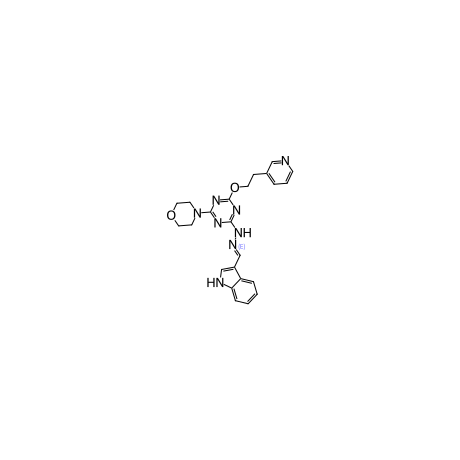 C(=N\Nc1nc(OCCc2cccnc2)nc(N2CCOCC2)n1)/c1c[nH]c2ccccc12